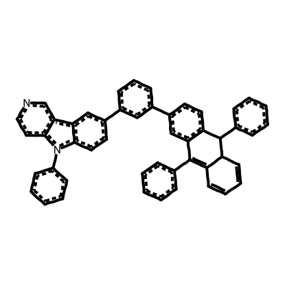 C1=CC2=C(c3ccccc3)c3cc(-c4cccc(-c5ccc6c(c5)c5cnccc5n6-c5ccccc5)c4)ccc3C(c3ccccc3)C2C=C1